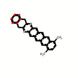 Cc1ccc(C)c2cc3cc4cc5nc6c(nc5cc4cc3cc12)C1c2ccccc2C6c2ccccc21